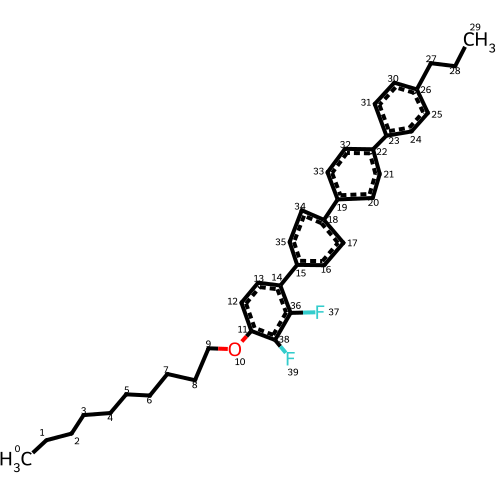 CCCCCCCCCCOc1ccc(-c2ccc(-c3ccc(-c4ccc(CCC)cc4)cc3)cc2)c(F)c1F